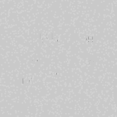 Cl.O.O=C(O)OC1=CC=C(O)C(=O)C1